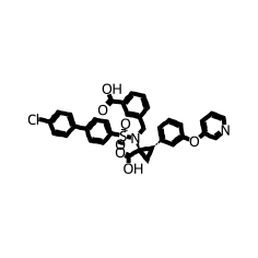 O=C(O)c1cccc(CN([C@]2(C(=O)O)C[C@H]2c2cccc(Oc3cccnc3)c2)S(=O)(=O)c2ccc(-c3ccc(Cl)cc3)cc2)c1